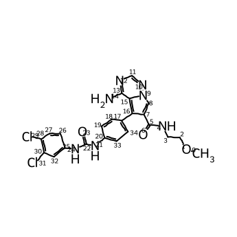 COCCNC(=O)c1cn2ncnc(N)c2c1-c1ccc(NC(=O)Nc2ccc(Cl)c(Cl)c2)cc1